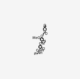 COc1cc2c(Oc3ccc(NC(=O)NC(C)C)c(Cl)c3)ncnc2cc1OCCC(=O)N1CCC2(CC1)COC2